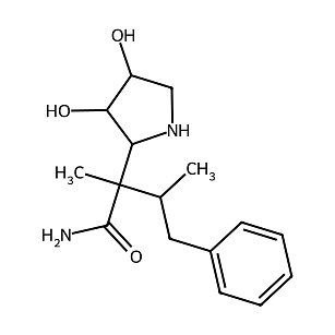 CC(Cc1ccccc1)C(C)(C(N)=O)C1NCC(O)C1O